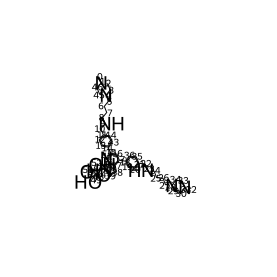 CN1CCN(CCCCNCc2ccc(-c3cc(-c4ccc(CNCCCCN5CCN(C)CC5)cc4)c4cc[nH]c4n3)cc2)CC1.O=C(O)C(=O)O